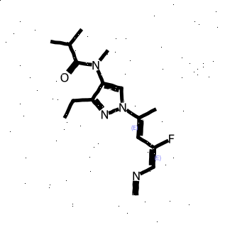 C=N/C=C(F)\C=C(/C)n1cc(N(C)C(=O)C(C)C)c(CC)n1